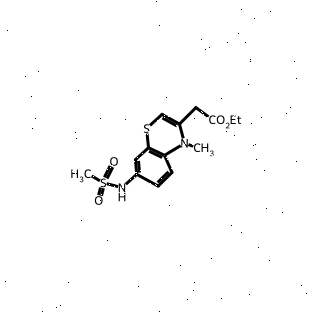 CCOC(=O)CC1=CSc2cc(NS(C)(=O)=O)ccc2N1C